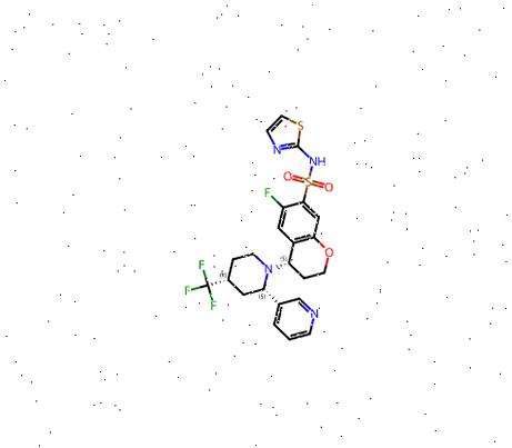 O=S(=O)(Nc1nccs1)c1cc2c(cc1F)[C@@H](N1CC[C@@H](C(F)(F)F)C[C@H]1c1cccnc1)CCO2